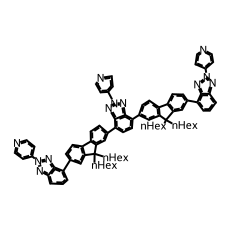 CCCCCCC1(CCCCCC)c2cc(-c3cccc4nn(-c5ccncc5)nc34)ccc2-c2ccc(-c3ccc(-c4ccc5c(c4)C(CCCCCC)(CCCCCC)c4cc(-c6cccc7nn(-c8ccncc8)nc67)ccc4-5)c4nn(-c5ccncc5)nc34)cc21